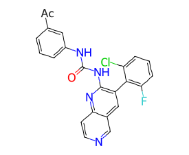 CC(=O)c1cccc(NC(=O)Nc2nc3ccncc3cc2-c2c(F)cccc2Cl)c1